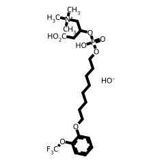 C[N+](C)(C)CC(CC(=O)O)OP(=O)(O)OCCCCCCCCOc1ccccc1OC(F)(F)F.[OH-]